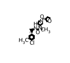 Cc1cc([C@@H]2C[C@H]2NC(=O)N(C)[C@H]2CCN(C(=O)[C@@H]3CCOC3)C2)ccc1Cl